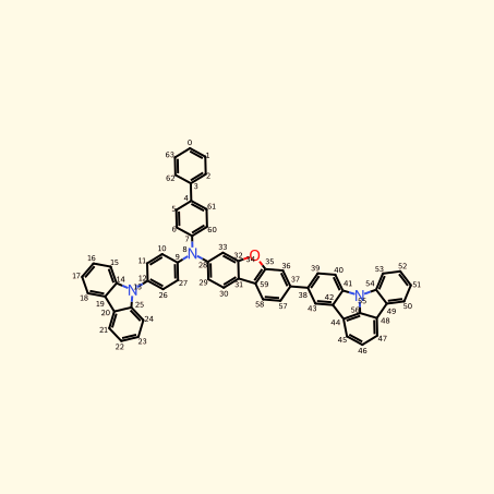 c1ccc(-c2ccc(N(c3ccc(-n4c5ccccc5c5ccccc54)cc3)c3ccc4c(c3)oc3cc(-c5ccc6c(c5)c5cccc7c8ccccc8n6c75)ccc34)cc2)cc1